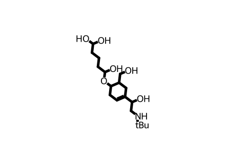 CC(C)(C)NCC(O)C1=CCC(OC(O)CCCC(O)O)C(CO)C1